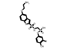 N#Cc1ccc(OP(=O)(O)CNS(=O)(=O)c2cc3cc(OCCN)ccc3s2)cc1F